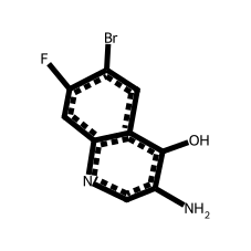 Nc1cnc2cc(F)c(Br)cc2c1O